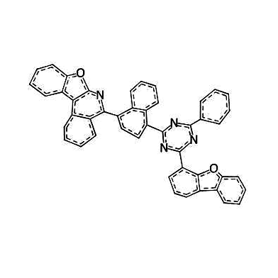 c1ccc(-c2nc(-c3ccc(-c4nc5oc6ccccc6c5c5ccccc45)c4ccccc34)nc(-c3cccc4c3oc3ccccc34)n2)cc1